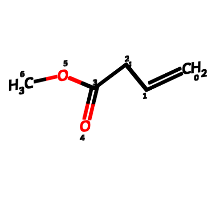 C=C[C]C(=O)OC